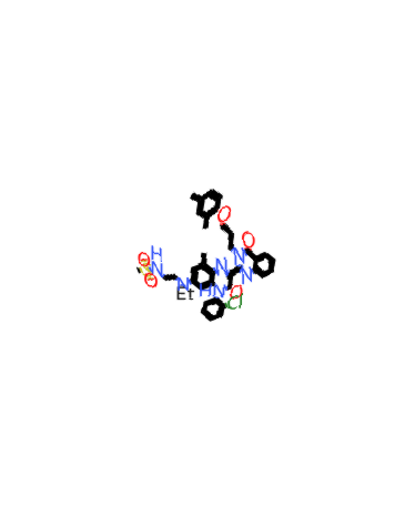 CCN(CCNS(C)(=O)=O)c1ccc(/N=C(\C(=O)Nc2ccccc2Cl)c2nc3ccccc3c(=O)n2CCCOc2ccc(C)cc2C)c(C)c1